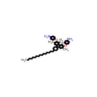 CCCCCCCCCCCCCCCCC1CCC(c2cc(C)c(Oc3ccc(N)cc3)c(C)c2)(c2cc(C)c(Oc3ccc(N)cc3)c(C)c2)CC1